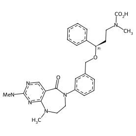 CNc1ncc2c(n1)N(C)CCN(c1cccc(CO[C@H](CCN(C)C(=O)O)c3ccccc3)c1)C2=O